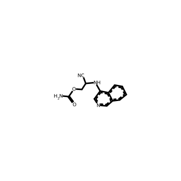 N#CC(COC(N)=O)Nc1cncc2ccccc12